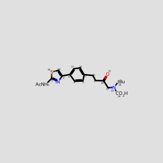 CC(=O)Nc1nc(-c2ccc(CCC(=O)CN(C(=O)O)C(C)(C)C)cc2)cs1